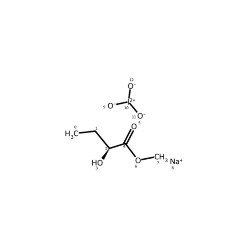 CC[C@H](O)C(=O)OC.[Na+].[O-][I+2]([O-])[O-]